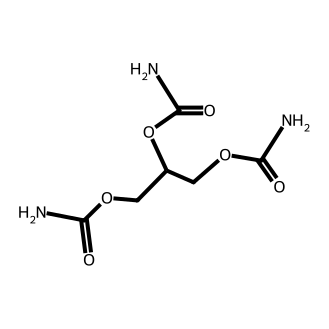 NC(=O)OCC(COC(N)=O)OC(N)=O